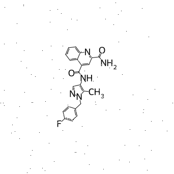 Cc1c(NC(=O)c2cc(C(N)=O)nc3ccccc23)cnn1Cc1ccc(F)cc1